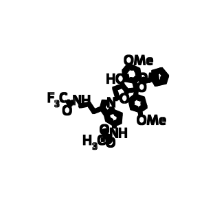 COc1ccc(C(OC(OC)c2ccccc2)(c2ccc(OC)cc2)C2OC(n3cc(CCCNC(=O)C(F)(F)F)c4cc(NS(C)(=O)=O)ccc43)CC2O)cc1